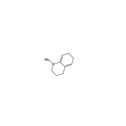 CC(C)(C)N1CCCC2=CCCC=C21